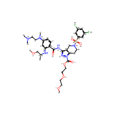 COCCOCCOC(=O)n1nc(NC(=O)c2ccc(N(C)CCN(C)C)cc2N[C@@H](C)COC)c2c1CCN(S(=O)(=O)c1cc(F)cc(F)c1)C2